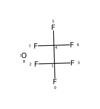 FC(F)(F)C(F)(F)F.[O]